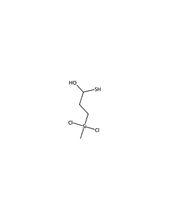 C[Si](Cl)(Cl)CCC(O)S